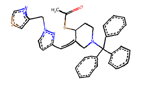 CC(=O)SC1CCN(C(c2ccccc2)(c2ccccc2)c2ccccc2)CC1=Cc1ccn(Cc2cscn2)n1